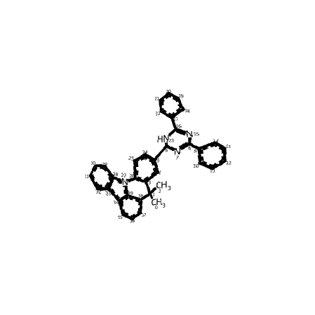 CC1(C)c2cc(C3N=C(c4ccccc4)N=C(c4ccccc4)N3)ccc2-n2c3ccccc3c3cccc1c32